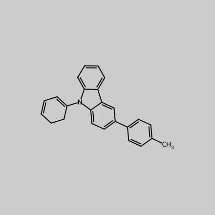 Cc1ccc(-c2ccc3c(c2)c2ccccc2n3C2=CC=CCC2)cc1